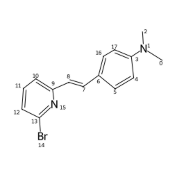 CN(C)c1ccc(C=Cc2cccc(Br)n2)cc1